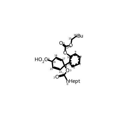 CCCCCCCC(=O)OC1(c2ccccc2OC(=O)OCC(C)CC)C=CC(C(=O)O)C=C1